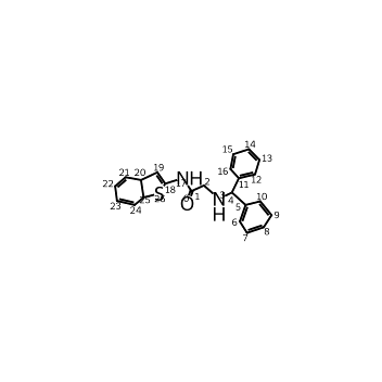 O=C(CNC(c1ccccc1)c1ccccc1)NC1=CC2C=CC=CC2S1